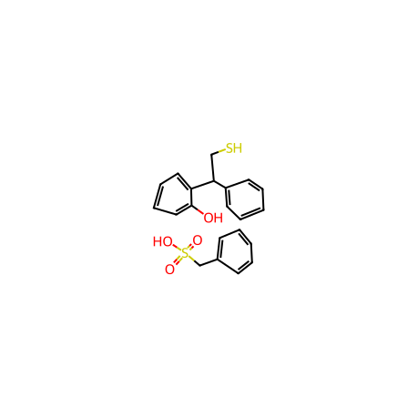 O=S(=O)(O)Cc1ccccc1.Oc1ccccc1C(CS)c1ccccc1